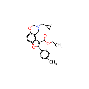 CCOC(=O)c1c(-c2ccc(C)cc2)oc2ccc3c(c12)CN(CC1CC1)CO3